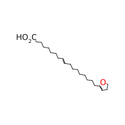 O=C(O)CCCCCCCC=CCCCCCCCCC1=CCCO1